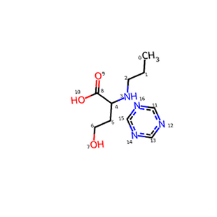 CCCNC(CCO)C(=O)O.c1ncncn1